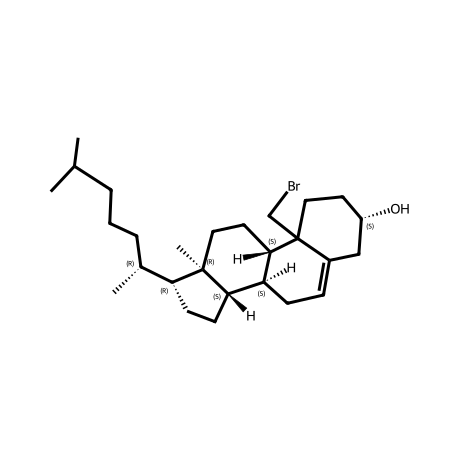 CC(C)CCC[C@@H](C)[C@H]1CC[C@H]2[C@@H]3CC=C4C[C@@H](O)CCC4(CBr)[C@H]3CC[C@]12C